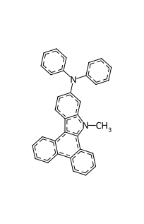 Cn1c2cc(N(c3ccccc3)c3ccccc3)ccc2c2c3ccccc3c3ccccc3c21